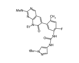 CCn1c(=O)c(-c2cc(NC(=O)Nc3cnn(C(C)(C)C)c3)c(F)cc2C)cc2cnc(NC)nc21